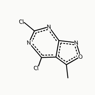 Cc1onc2nc(Cl)nc(Cl)c12